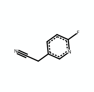 N#CCc1ccc(F)nc1